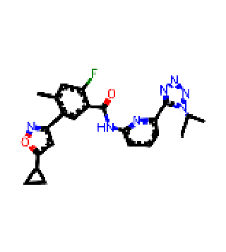 Cc1cc(F)c(C(=O)Nc2cccc(-c3nnnn3C(C)C)n2)cc1-c1cc(C2CC2)on1